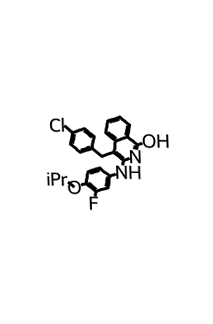 CC(C)Oc1ccc(Nc2nc(O)c3ccccc3c2Cc2ccc(Cl)cc2)cc1F